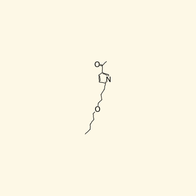 CCCCCOCCCCc1ccc(C(C)=O)cn1